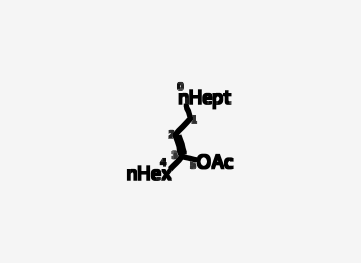 CCCCCCCCC=C(CCCCCC)OC(C)=O